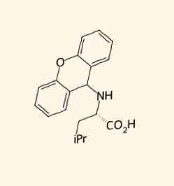 CC(C)C[C@H](NC1c2ccccc2Oc2ccccc21)C(=O)O